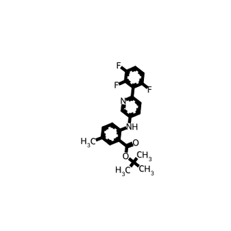 Cc1ccc(Nc2ccc(-c3c(F)ccc(F)c3F)nc2)c(C(=O)OC(C)(C)C)c1